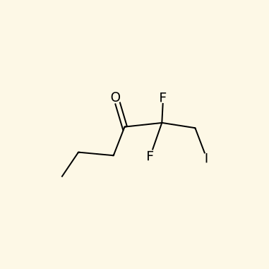 CCCC(=O)C(F)(F)CI